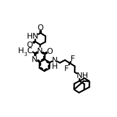 Cc1nc2cccc(NCCC(F)(F)CCNC34CC5CC(CC(C5)C3)C4)c2c(=O)n1C1CCC(=O)NC1=O